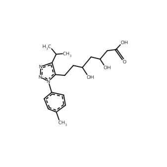 Cc1ccc(-n2nnc(C(C)C)c2CCC(O)CC(O)CC(=O)O)cc1